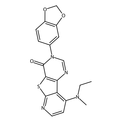 CCN(C)c1ccnc2sc3c(=O)n(-c4ccc5c(c4)OCO5)cnc3c12